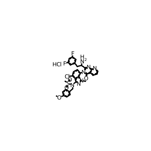 COc1ccc(CN(c2nn(C)c3c(-n4c(C(N)Cc5cc(F)cc(F)c5)nc5ncccc5c4=O)ccc(Cl)c23)S(C)(=O)=O)cc1.Cl